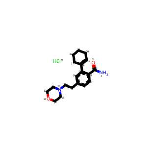 Cl.NC(=O)c1ccc(CCN2CCOCC2)cc1C1=CCCCC1